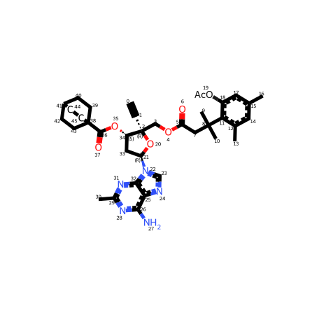 C#C[C@]1(COC(=O)CC(C)(C)c2c(C)cc(C)cc2OC(C)=O)O[C@@H](n2cnc3c(N)nc(C)nc32)C[C@@H]1OC(=O)C12CCC(CC1)CC2